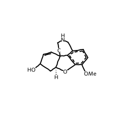 COc1ccc2c3c1O[C@H]1CC(O)C=CC31CCNC2